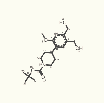 COc1nc(CO)c(CO)cc1C1CCN(C(=O)OC(C)(C)C)CC1